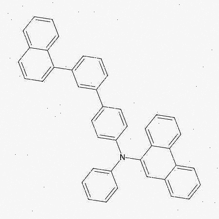 c1ccc(N(c2ccc(-c3cccc(-c4cccc5ccccc45)c3)cc2)c2cc3ccccc3c3ccccc23)cc1